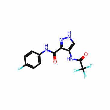 O=C(Nc1ccc(F)cc1)c1n[nH]cc1NC(=O)C(F)(F)F